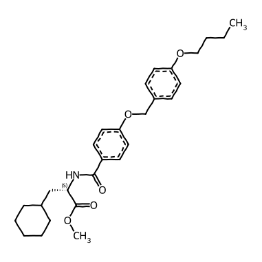 CCCCOc1ccc(COc2ccc(C(=O)N[C@@H](CC3CCCCC3)C(=O)OC)cc2)cc1